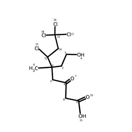 CC(CCO)(CC(=O)CC(=O)O)C(Cl)CC(Cl)(Cl)Cl